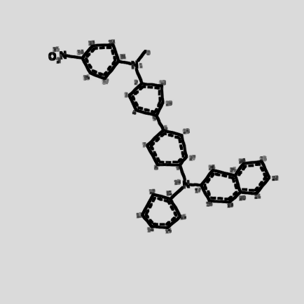 CN(c1ccc(-c2ccc(N(c3ccccc3)c3ccc4ccccc4c3)cc2)cc1)c1ccc([N+](=O)[O-])cc1